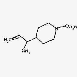 C=CC(N)C1CCN(C(=O)O)CC1